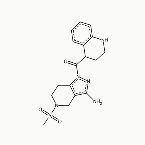 CS(=O)(=O)N1CCc2c(c(N)nn2C(=O)C2CCNc3ccccc32)C1